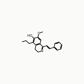 CCCc1c(O)c(OC)cc2c1CCN=C2/C=C/c1ccccc1